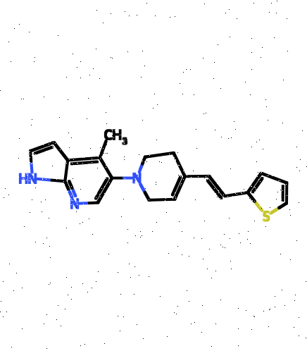 Cc1c(N2CC=C(C=Cc3cccs3)CC2)cnc2[nH]ccc12